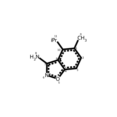 Cc1ccc2onc(N)c2c1C(C)C